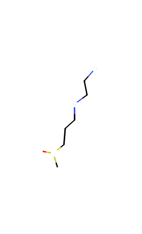 C[S+]([O-])CCCNCCN